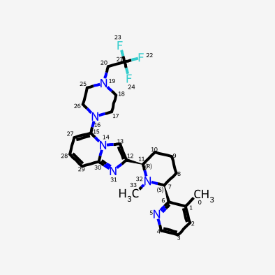 Cc1cccnc1[C@@H]1CCC[C@H](c2cn3c(N4CCN(CC(F)(F)F)CC4)cccc3n2)N1C